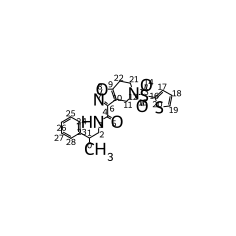 CC(CNC(=O)c1noc2c1CN(S(=O)(=O)c1cccs1)CC2)c1ccccc1